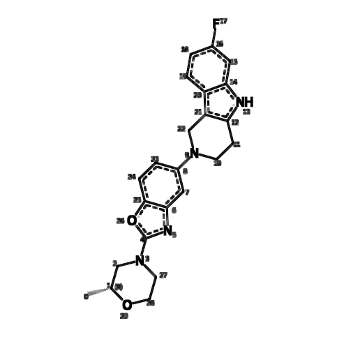 C[C@@H]1CN(c2nc3cc(N4CCc5[nH]c6cc(F)ccc6c5C4)ccc3o2)CCO1